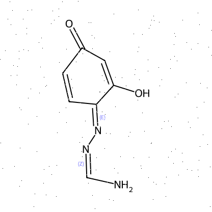 N/C=N\N=C1/C=CC(=O)C=C1O